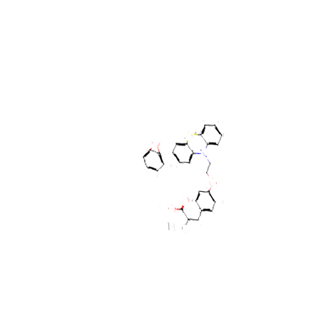 CC(Cc1ccc(OCCN2c3ccccc3Sc3ccccc32)cc1)C(=O)O.c1ccc2c(c1)O2